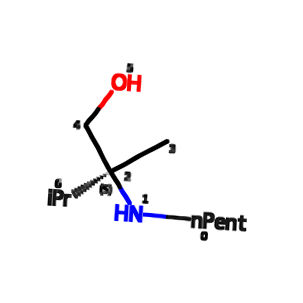 CCCCCN[C@](C)(CO)C(C)C